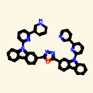 C1=CC(c2cccc(-n3c4ccccc4c4ccc(-c5nnc(-c6ccc7c8ccccc8n(-c8cccc(-c9cccnc9)n8)c7c6)o5)cc43)n2)=CNC1